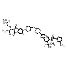 CC(C)(C)OC(=O)CC[C@H](C(N)=O)N1C(=O)c2cc(F)c(N3CCC(CN4CCC(c5cn6cc(NC(=O)c7cccc(C(F)(F)F)n7)c(C(C)(C)O)cc6n5)CC4)CC3)cc2C1=O